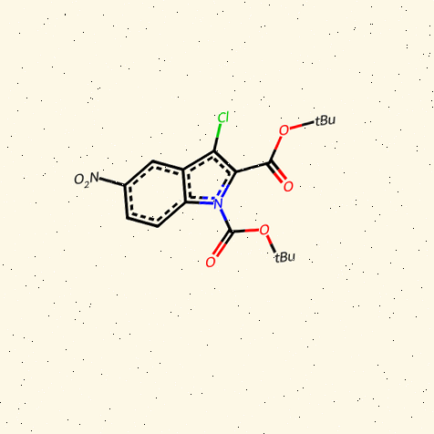 CC(C)(C)OC(=O)c1c(Cl)c2cc([N+](=O)[O-])ccc2n1C(=O)OC(C)(C)C